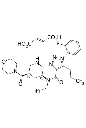 CC(C)CN(C(=O)c1nnn(-c2ccccc2F)c1CCC(F)(F)F)[C@@H]1CNC[C@H](C(=O)N2CCOCC2)C1.O=C(O)C=CC(=O)O